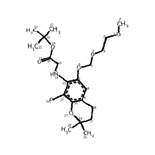 COCCOCOc1cc2c(c(F)c1NCC(=O)OC(C)(C)C)OC(C)(C)CC2